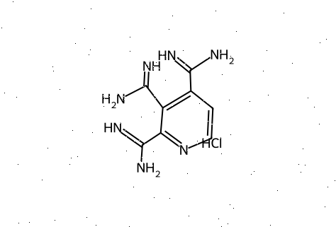 Cl.N=C(N)c1ccnc(C(=N)N)c1C(=N)N